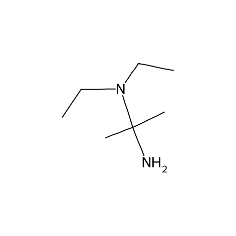 CCN(CC)C(C)(C)N